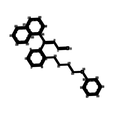 O=CC=C(c1ccccc1CCCCOc1ccccc1)c1cccc2ccccc12